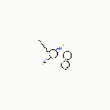 C1CCCCCCCCC1.C1CCCCCCCCC1.CCCCCCCC1CCC(CN=C=S)CCCCC(CN=C=S)C1